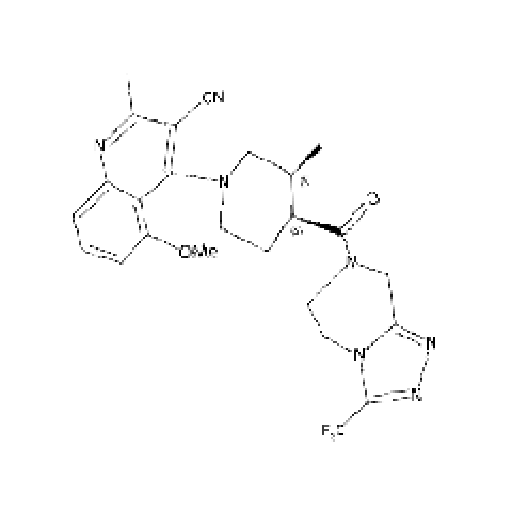 COc1cccc2nc(C)c(C#N)c(N3CC[C@H](C(=O)N4CCn5c(nnc5C(F)(F)F)C4)[C@H](C)C3)c12